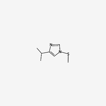 CSn1cnc(C(C)C)c1